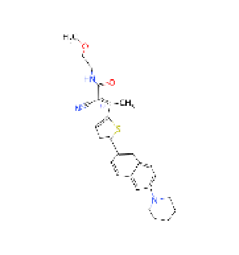 COCCNC(=O)/C(C#N)=C(\C)c1ccc(-c2ccc3cc(N4CCCCC4)ccc3c2)s1